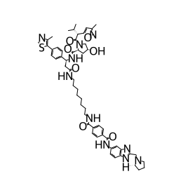 Cc1cc([C@H](C(=O)N2C[C@H](O)C[C@H]2C(=O)N[C@@H](CC(=O)NCCCCCCCCNC(=O)c2ccc(C(=O)Nc3ccc4[nH]c(CN5CCC[C@@H]5C)nc4c3)cc2)c2ccc(-c3scnc3C)cc2)C(C)C)on1